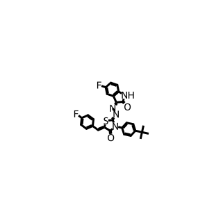 CC(C)(C)c1ccc(N2C(=O)C(=Cc3ccc(F)cc3)SC2=NN=C2C(=O)Nc3ccc(F)cc32)cc1